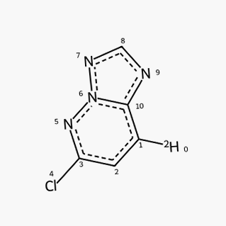 [2H]c1cc(Cl)nn2ncnc12